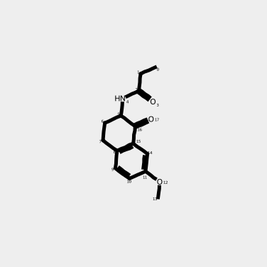 CCC(=O)NC1CCc2ccc(OC)cc2C1=O